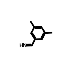 Cc1cc(C)cc(C=N)c1